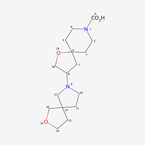 O=C(O)N1CCC2(CC1)CC(N1CCC3(CCOC3)C1)CO2